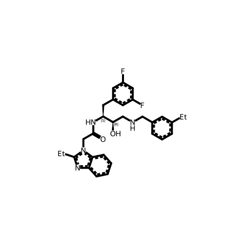 CCc1cccc(CNC[C@@H](O)[C@H](Cc2cc(F)cc(F)c2)NC(=O)Cn2c(CC)nc3ccccc32)c1